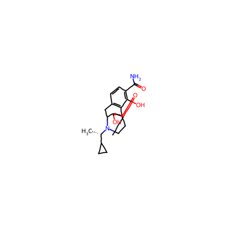 C[C@@H](C1CC1)N1CCC23CC(=O)CCC2(O)C1Cc1ccc(C(N)=O)c(O)c13